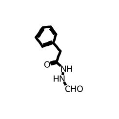 O=CNNC(=O)Cc1ccccc1